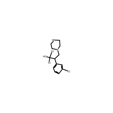 CCC(O)(CC)C(CN1CCNCC1)c1cccc(Cl)c1